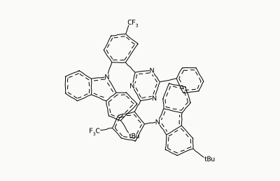 CC(C)(C)c1ccc2c(c1)c1ccccc1n2-c1ccc(C(F)(F)F)cc1-c1nc(-c2ccccc2)nc(-c2cc(C(F)(F)F)ccc2-n2c3ccccc3c3cc(C(C)(C)C)ccc32)n1